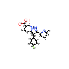 Cc1cccc(-c2nn3cc(C(=O)O)ccc3c2-c2ccc(F)cc2)n1